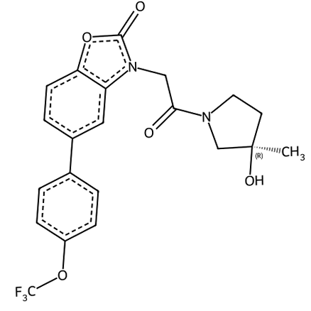 C[C@@]1(O)CCN(C(=O)Cn2c(=O)oc3ccc(-c4ccc(OC(F)(F)F)cc4)cc32)C1